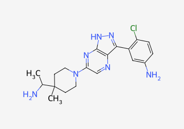 CC(N)C1(C)CCN(c2cnc3c(-c4cc(N)ccc4Cl)n[nH]c3n2)CC1